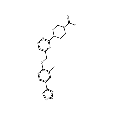 O=C(O)N1CCC(c2nccc(COc3ccc(-n4cnnn4)cc3F)n2)CC1